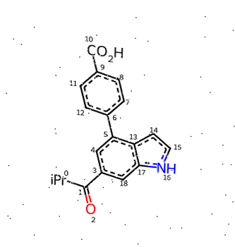 CC(C)C(=O)c1cc(-c2ccc(C(=O)O)cc2)c2cc[nH]c2c1